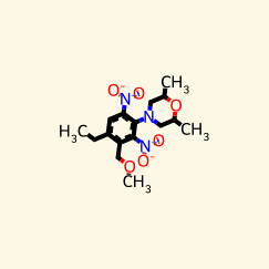 CCc1cc([N+](=O)[O-])c(N2CC(C)OC(C)C2)c([N+](=O)[O-])c1COC